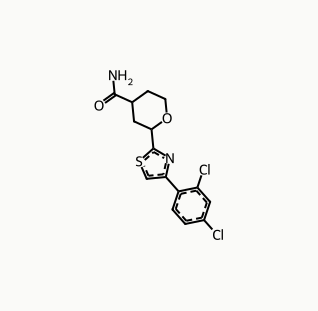 NC(=O)C1CCOC(c2nc(-c3ccc(Cl)cc3Cl)cs2)C1